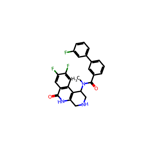 CN(C(=O)c1cccc(-c2cccc(F)c2)c1)C1CNCc2[nH]c(=O)c3cc(F)c(F)cc3c21